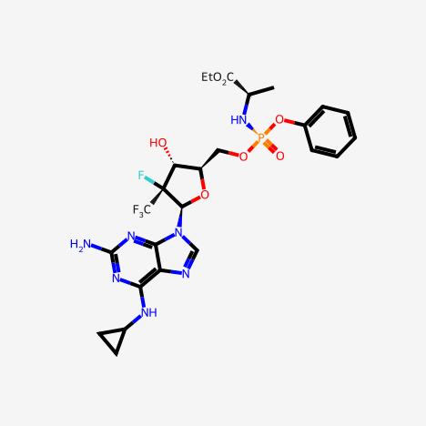 CCOC(=O)[C@@H](C)N[P@@](=O)(OC[C@H]1O[C@@H](n2cnc3c(NC4CC4)nc(N)nc32)[C@@](F)(C(F)(F)F)[C@@H]1O)Oc1ccccc1